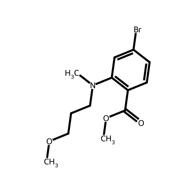 COCCCN(C)c1cc(Br)ccc1C(=O)OC